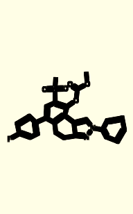 COC(=O)Oc1c(S(C)(=O)=O)cc(-c2ccc(F)cc2)c2c1-c1cn(-c3ccccc3)nc1CC2